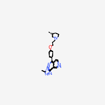 Cc1nnc2c3cnccc3c(-c3ccc(OCCCN4CCC[C@H](C)C4)cc3)nn12